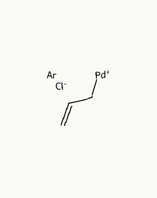 C=C[CH2][Pd+].[Ar].[Cl-]